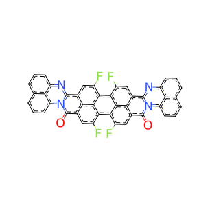 O=c1c2cc(F)c3c4c(F)cc5c(=O)n6c7cccc8cccc(nc6c6cc(F)c(c9c(F)cc(c2c39)c2nc3cccc9cccc(c93)n12)c4c56)c87